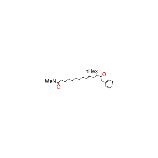 [CH2]NC(=O)CCCCCCC/C=C/CC(CCCCCC)C(=O)Cc1ccccc1